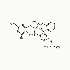 CCc1nc(SC)nc(N2CCCC2CN(Cc2ccc(C#N)cc2)S(=O)(=O)c2ccccc2[N+](=O)[O-])c1C(=O)O